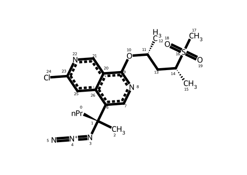 CCC[C@@](C)(N=[N+]=[N-])c1cnc(O[C@H](C)C[C@@H](C)S(C)(=O)=O)c2cnc(Cl)cc12